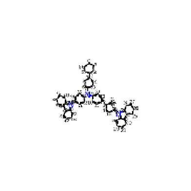 c1ccc(-c2ccc(N(c3ccc(-c4ccc(-n5c6ccccc6c6ccccc65)cc4)cc3)c3ccc(-n4c5ccccc5c5ccccc54)cc3)cc2)cc1